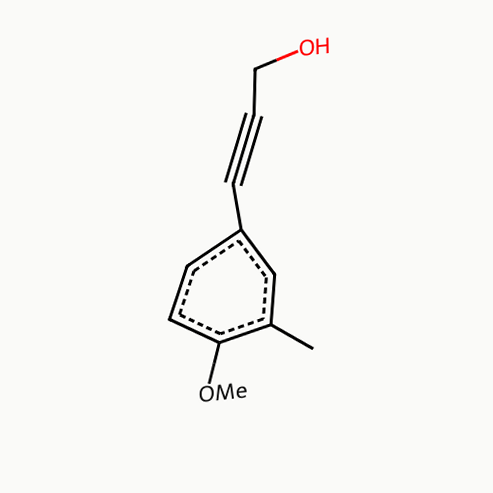 COc1ccc(C#CCO)cc1C